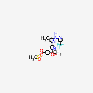 Cc1cc(Nc2cc(C(F)(F)F)ccn2)nc(-c2ccc([C@](C)(O)C3CCC(C(=O)OC[S+](C)[O-])CC3)nc2)c1